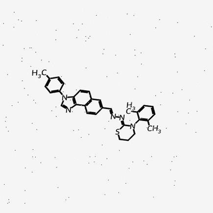 Cc1ccc(-n2cnc3c4ccc(/C=N/N=C5\SCCCN5c5c(C)cccc5C)cc4ccc32)cc1